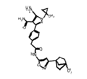 CC1(n2nc(-c3ccc(CC(=O)Nc4cc(C56CCC(C(F)(F)F)(CC5)C6)no4)cc3)c(C(N)=O)c2N)CC1